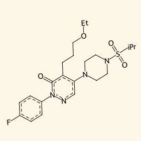 CCOCCCc1c(N2CCN(S(=O)(=O)C(C)C)CC2)cnn(-c2ccc(F)cc2)c1=O